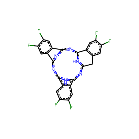 Fc1cc2c(cc1F)-c1nc3nc(nc4[nH]c(nc([nH]1)C2)c1cc(F)c(F)cc41)-c1cc(F)c(F)cc1-3